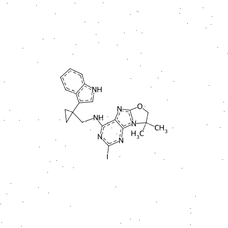 CC1(C)COc2nc3c(NCC4(c5c[nH]c6ccccc56)CC4)nc(I)nc3n21